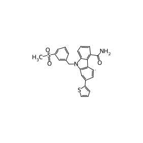 CS(=O)(=O)c1cccc(Cn2c3cc(-c4cccs4)c[c]c3c3c(C(N)=O)cccc32)c1